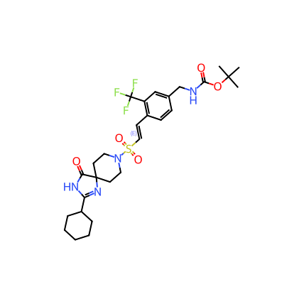 CC(C)(C)OC(=O)NCc1ccc(/C=C/S(=O)(=O)N2CCC3(CC2)N=C(C2CCCCC2)NC3=O)c(C(F)(F)F)c1